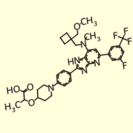 COCC1(CN(C)c2cc(-c3cc(F)cc(C(F)(F)F)c3)nc3nc(-c4ccc(N5CCC(OC(C)C(=O)O)CC5)cc4)[nH]c23)CCC1